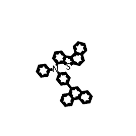 c1ccc(N(c2ccc(-c3cc4ccccc4c4ccccc34)cc2)c2cccc3c2sc2ccc4ccccc4c23)cc1